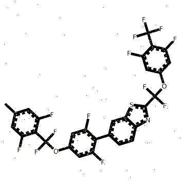 Cc1cc(F)c(C(F)(F)Oc2cc(F)c(-c3ccc4nc(C(F)(F)Oc5cc(F)c(C(F)(F)F)c(F)c5)sc4c3)c(F)c2)c(F)c1